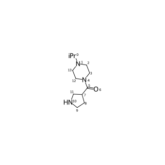 CC(C)N1CCN(C(=O)C2CCNC2)CC1